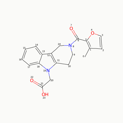 Cc1ccoc1C(=O)N1CCc2c(c3ccccc3n2CC(=O)O)C1